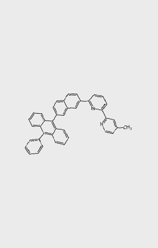 Cc1ccnc(-c2cccc(-c3ccc4ccc(-c5c6ccccc6c(-c6ccccc6)c6ccccc56)cc4c3)n2)c1